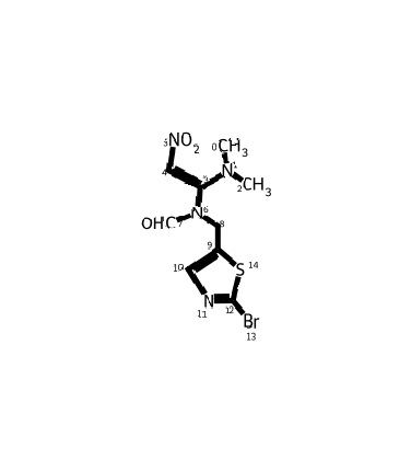 CN(C)C(=C[N+](=O)[O-])N(C=O)Cc1cnc(Br)s1